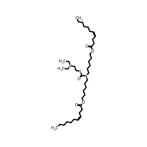 CCCCCC/C=C\CCC(=O)OCCCCCCN(CCCCCCOC(=O)CC/C=C\CCCCCC)C(=O)SCCN(CC)CC